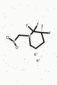 C[C@]1(F)CCCN(CB([O-])[O-])C1(F)F.[K+].[K+]